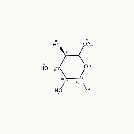 CC(=O)OC1O[C@H](C)[C@H](O)[C@H](O)[C@H]1O